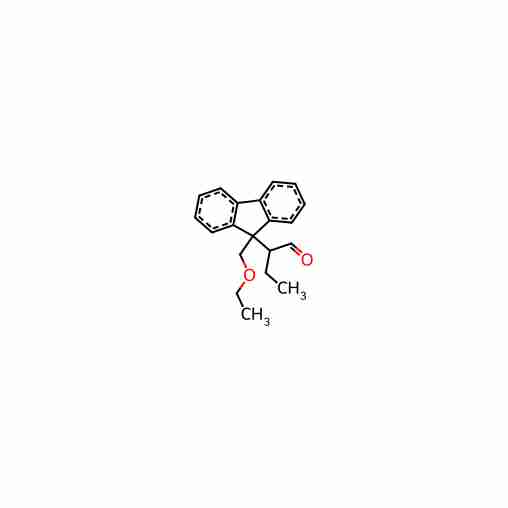 CCOCC1(C(C=O)CC)c2ccccc2-c2ccccc21